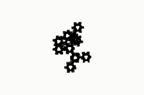 c1ccc(-c2nc(-c3cc(-c4ccccc4)c(C4c5ccccc5-c5ccc6c(c54)c4ccccc4n6-c4ccccc4)c(-c4ccccc4)c3)nc(-c3ccccn3)n2)cc1